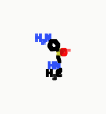 CCNCC[S+]([O-])c1ccc(N)cc1